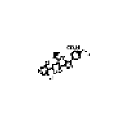 C[C@]1(C(=O)O)CC[C@H](n2ncc(C(=O)N(CC(=O)c3c(Cl)cncc3Cl)CC3(F)CC3)c2C(F)(F)F)CC1